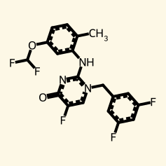 Cc1ccc(OC(F)F)cc1Nc1nc(=O)c(F)cn1Cc1cc(F)cc(F)c1